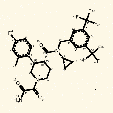 Cc1cc(F)ccc1[C@@H]1CN(C(=O)C(N)=O)CC[C@H]1C(=O)N(Cc1cc(C(F)(F)F)cc(C(F)(F)F)c1)C1CC1